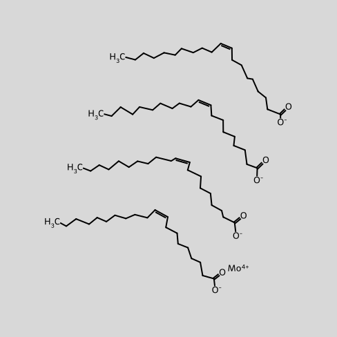 CCCCCCCCCC/C=C\CCCCCCCC(=O)[O-].CCCCCCCCCC/C=C\CCCCCCCC(=O)[O-].CCCCCCCCCC/C=C\CCCCCCCC(=O)[O-].CCCCCCCCCC/C=C\CCCCCCCC(=O)[O-].[Mo+4]